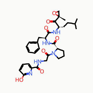 CC(C)CC[C@H](NC(=O)[C@H](Cc1ccccc1)NC(=O)[C@@H]1CCCN1C(=O)CNC(=O)c1cccc(O)n1)C(=O)[C@@]1(C)CO1